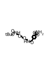 CC(C)(C)OC(=O)NCCOCCOCCNC1OC1c1ccc(S(N)(=O)=O)cc1